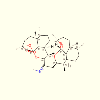 C/N=C(/C[C@H]1O[C@@H]2O[C@]3(C)CC[C@H]4[C@H](C)CC[C@@H]([C@H]1C)[C@@]24OO3)[C@H]1O[C@@H]2O[C@]3(C)CC[C@H]4[C@H](C)CC[C@@H]([C@H]1C)[C@@]24OO3